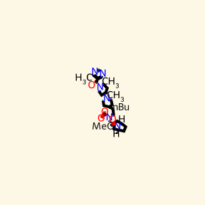 CCCC[C@H]1CN(C[C@H]2C[C@H]3CC[C@@H](C2)N3C(=O)OC)C(=O)OC12CCN(C1(C)CCN(C(=O)c3c(C)ncnc3C)CC1)CC2